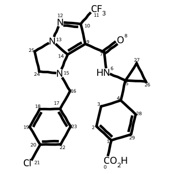 O=C(O)C1=CCC(C2(NC(=O)c3c(C(F)(F)F)nn4c3N(Cc3ccc(Cl)cc3)CC4)CC2)C=C1